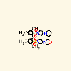 Cc1cc(C)c(S(=O)(=O)N2CCC(N3CCCCCC3)CC2)c(Cc2cc(C)cc(C)c2S(=O)(=O)N2CCC(N3CCOCC3)CC2)c1